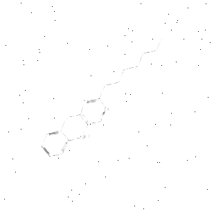 CCCCCCCc1ncc2c(n1)Sc1ccccc1N2